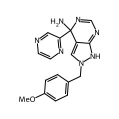 COc1ccc(CN2C=C3C(=NC=NC3(N)c3cnccn3)N2)cc1